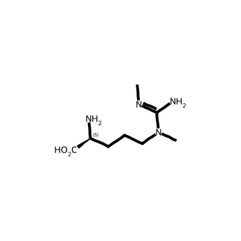 CN=C(N)N(C)CCC[C@H](N)C(=O)O